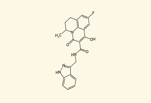 CC1CCc2cc(F)cc3c(O)c(C(=O)NCc4n[nH]c5ccccc45)c(=O)n1c23